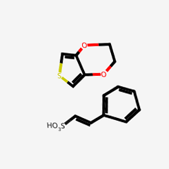 O=S(=O)(O)C=Cc1ccccc1.c1scc2c1OCCO2